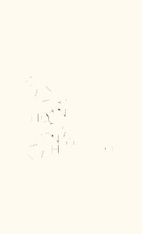 COCCCCOC(=O)N[C@@H](Cc1ccccc1)[C@H](O)CN(CC(C)C)S(=O)(=O)c1ccc(OC)cc1